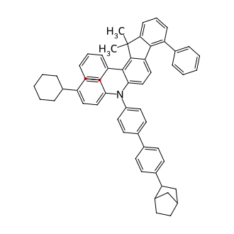 CC1(C)c2cccc(-c3ccccc3)c2-c2ccc(N(c3ccc(-c4ccc(C5CC6CCC5C6)cc4)cc3)c3ccc(C4CCCCC4)cc3)c(-c3ccccc3)c21